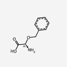 N[C@H](OCc1ccccc1)C(=O)O